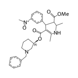 COC(=O)C1C(C)NC(C)=C(C(=O)O[C@@H]2CCCN(Cc3ccccc3)C2)C1c1cccc([N+](C)=O)c1